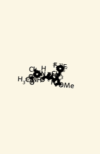 COc1cnc(-c2cc(C(=O)Nc3cc(Cl)cc(NS(C)(=O)=O)c3)cn2C)c(OCc2cc(F)cc(F)c2)c1